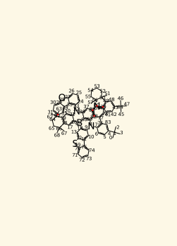 CC(C)(C)c1ccc(N2c3cc4c(cc3B3c5cc6c(cc5N(c5cccc7oc8ccccc8c57)c5cc(N7c8ccc(C(C)(C)C)cc8C8(C)CCCCC78C)cc2c53)C(C)(C)CCC6(C)C)sc2ccccc24)c(-c2ccccc2)c1